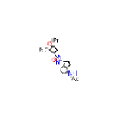 CC(=O)CN[C@@H]1CCCc2c(-c3noc(-c4ccc(OC(C)C)c(C#N)c4)n3)cccc21